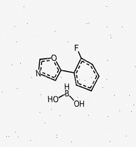 Fc1ccccc1-c1cnco1.OBO